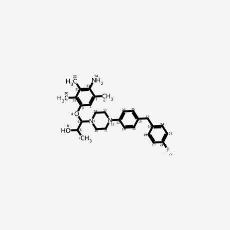 Cc1cc(OC(C(C)O)N2CCN(c3ccc(Cc4ccc(F)cc4)cc3)CC2)c(C)c(C)c1N